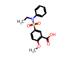 CCN(c1ccccc1)S(=O)(=O)c1ccc(OC)c(C(=O)O)c1